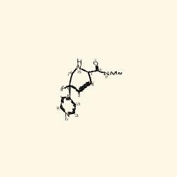 CNC(=O)C1C=CC(F)(c2ccncc2)CN1